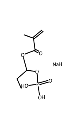 C=C(C)C(=O)OC(CC)OP(=O)(O)O.[NaH]